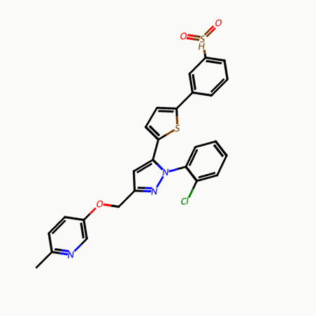 Cc1ccc(OCc2cc(-c3ccc(-c4cccc([SH](=O)=O)c4)s3)n(-c3ccccc3Cl)n2)cn1